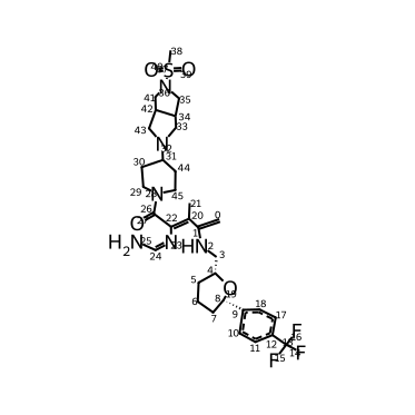 C=C(NC[C@H]1CCC[C@@H](c2ccc(C(F)(F)F)cc2)O1)/C(C)=C(\N=C/N)C(=O)N1CCC(N2CC3CN(S(C)(=O)=O)CC3C2)CC1